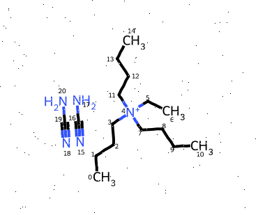 CCCC[N+](CC)(CCCC)CCCC.N#CN.N#CN